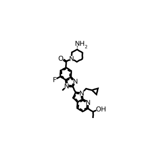 CC(O)c1ccc2cc(-c3nc4cc(C(=O)N5CCC[C@@H](N)C5)cc(F)c4n3C)n(CC3CC3)c2n1